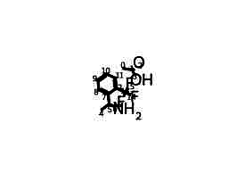 CC(=O)O.CC(N)c1ccccc1C(F)(F)F